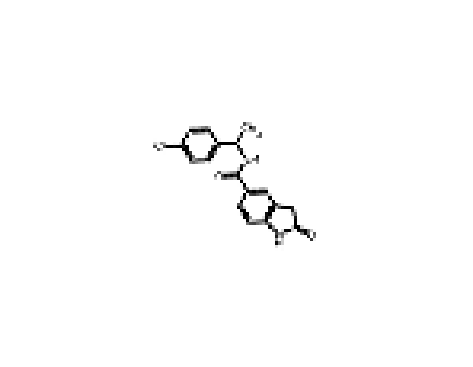 C[C@@H](NC(=O)c1ccc2c(c1)CC(=O)N2)c1ccc(Cl)cc1